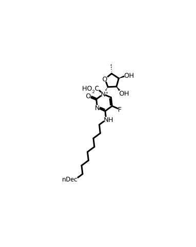 CCCCCCCCCCCCCCCCCCNC1=NC(=O)[N+](C(=O)O)([C@@H]2O[C@H](C)[C@@H](O)[C@H]2O)C=C1F